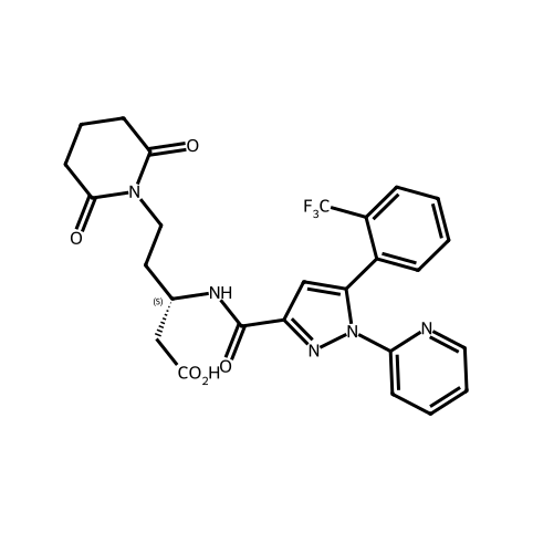 O=C(O)C[C@H](CCN1C(=O)CCCC1=O)NC(=O)c1cc(-c2ccccc2C(F)(F)F)n(-c2ccccn2)n1